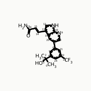 CC(C)(O)c1cc(-c2cnc3[nH]cc(C=CC(N)=O)c3c2)cc(C(F)(F)F)c1